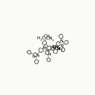 CC(C)(C)c1ccc2c(c1)c1cc(C(C)(C)C)ccc1n2-c1ccc(-c2cc(-c3ccccc3)nc(-c3ccccc3)n2)cc1-c1cc(-c2ccccc2)nc(-c2ccc(-c3ccc4c5c3N(c3ccccc3)c3ccccc3B5c3ccccc3N4c3ccccc3)cc2)n1